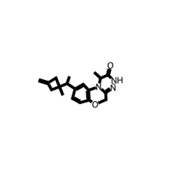 C=C1CC(C)(C(C)c2ccc3c(c2)N2C(=NNC(=O)C2C)CO3)C1